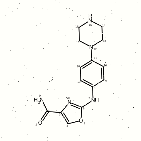 NC(=O)c1coc(Nc2ccc(N3CCNCC3)cc2)n1